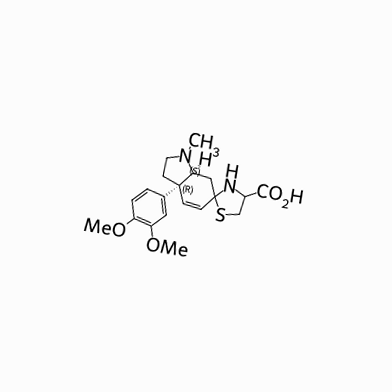 COc1ccc([C@@]23C=CC4(C[C@@H]2N(C)CC3)NC(C(=O)O)CS4)cc1OC